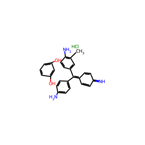 Cc1cc(C(=C2C=CC(=N)C=C2)c2ccc(N)cc2)ccc1N.Cl.Oc1cccc(O)c1